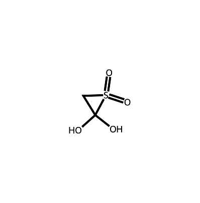 O=S1(=O)CC1(O)O